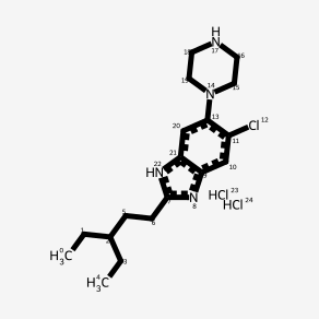 CCC(CC)CCc1nc2cc(Cl)c(N3CCNCC3)cc2[nH]1.Cl.Cl